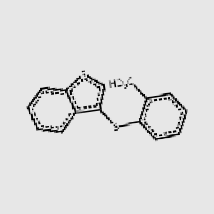 O=C(O)c1ccccc1Sc1csc2ccccc12